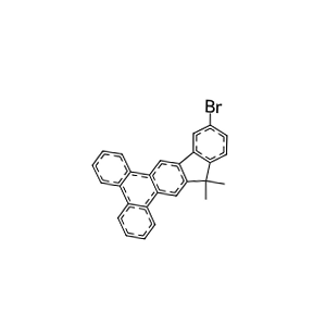 CC1(C)c2ccc(Br)cc2-c2cc3c4ccccc4c4ccccc4c3cc21